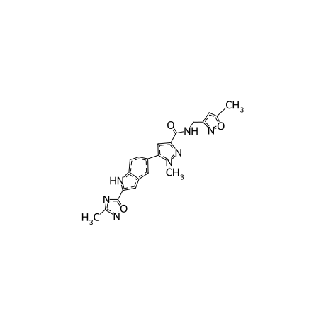 Cc1noc(-c2cc3cc(-c4cc(C(=O)NCc5cc(C)on5)nn4C)ccc3[nH]2)n1